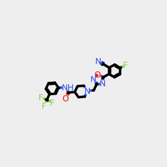 N#Cc1cc(F)ccc1-c1nc(CN2CCC(C(=O)Nc3cccc(C(F)(F)F)c3)CC2)no1